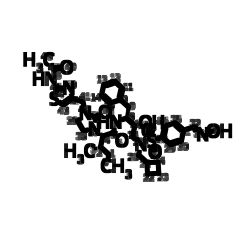 CC[C@H](C)[C@@H](C(=O)N[C@@H](Cc1ccccc1)[C@H](O)CN(CC1CCC1)S(=O)(=O)c1ccc(C=NO)cc1)N1CCN(Cc2csc(NC(C)=O)n2)C1=O